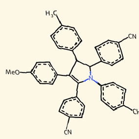 COc1ccc(C2=C(c3ccc(C#N)cc3)N(c3ccc(C)cc3)C(c3ccc(C#N)cc3)C2c2ccc(C)cc2)cc1